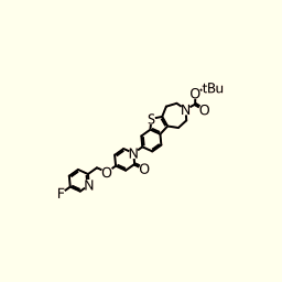 CC(C)(C)OC(=O)N1CCc2sc3cc(-n4ccc(OCc5ccc(F)cn5)cc4=O)ccc3c2CC1